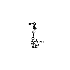 COC(=O)CCC1=C(CCC(=O)OC)C(C2CCC(C#Cc3ccc(-c4cc(Cn5ccnc5[C@@H](C)O)no4)cc3)CC2)=CC=CN1